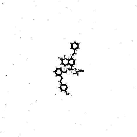 CC(C)(C)[Si](C)(C)O[C@@](C)(NCc1ccccc1CCc1ccc(N)cc1)c1ccc(OCc2ccccc2)c2[nH]c(=O)ccc12